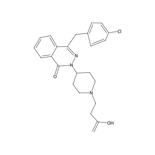 C=C(O)CCN1CCC(n2nc(Cc3ccc(Cl)cc3)c3ccccc3c2=O)CC1